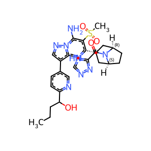 CCCC(O)c1ccc(-c2cnn3c(N)c(S(C)(=O)=O)c([C@@H]4C[C@H]5CC[C@@H](C4)N5C(=O)c4nnc[nH]4)nc23)cn1